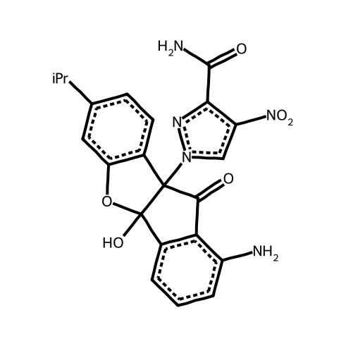 CC(C)c1ccc2c(c1)OC1(O)c3cccc(N)c3C(=O)C21n1cc([N+](=O)[O-])c(C(N)=O)n1